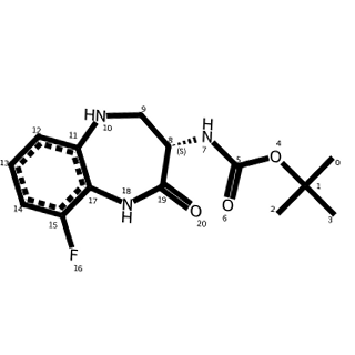 CC(C)(C)OC(=O)N[C@H]1CNc2cccc(F)c2NC1=O